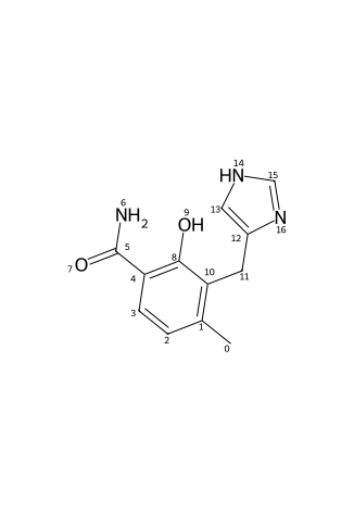 Cc1ccc(C(N)=O)c(O)c1Cc1c[nH]cn1